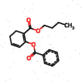 CCCCOC(=O)C1=C(OC(=O)c2ccccc2)C=CCC1